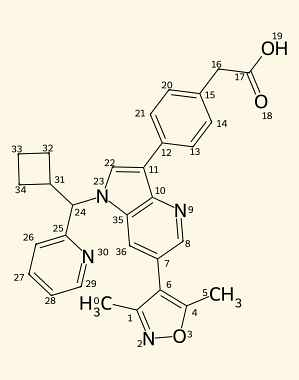 Cc1noc(C)c1-c1cnc2c(-c3ccc(CC(=O)O)cc3)cn(C(c3ccccn3)C3CCC3)c2c1